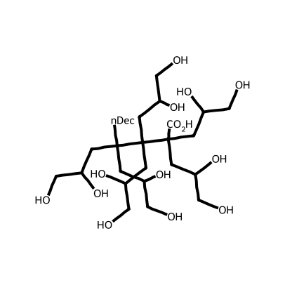 CCCCCCCCCCC(CC(O)CO)(CC(O)CO)C(CC(O)CO)(CC(O)CO)C(CC(O)CO)(CC(O)CO)C(=O)O